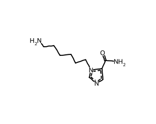 NCCCCCCn1cncc1C(N)=O